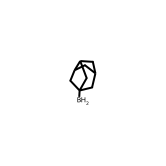 BC12CC3CC(C1)C(C3)C2